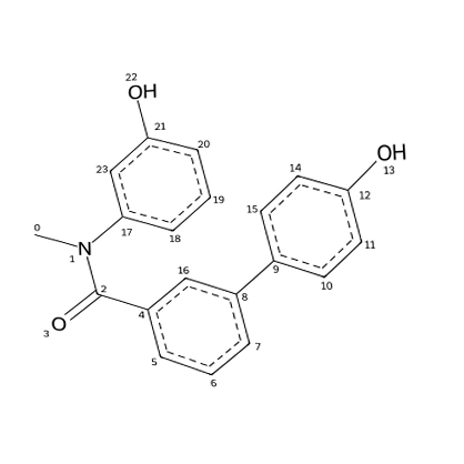 CN(C(=O)c1cccc(-c2ccc(O)cc2)c1)c1cccc(O)c1